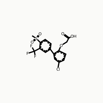 CS(=O)(=O)c1ccc(-c2cc(Cl)ccc2OCC(=O)O)cc1C(F)(F)F